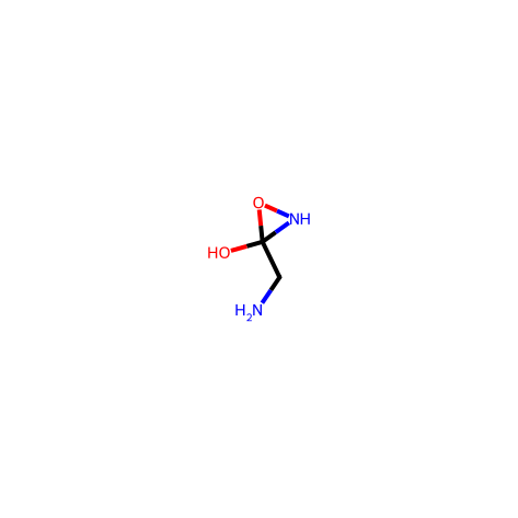 NCC1(O)NO1